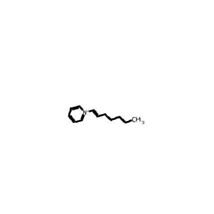 CCCCCC=C[n+]1ccccc1